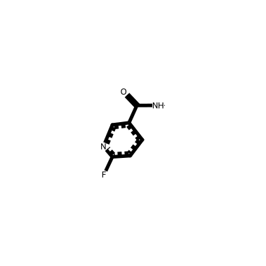 [NH]C(=O)c1ccc(F)nc1